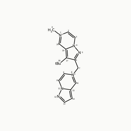 C[n+]1ccn2nc(C[n+]3ccn4nccc4c3)c(C(C)(C)C)c2c1